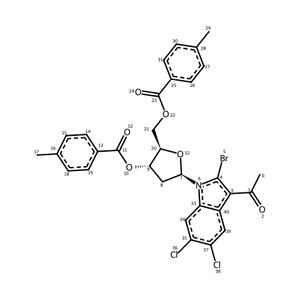 CC(=O)c1c(Br)n([C@H]2C[C@H](OC(=O)c3ccc(C)cc3)[C@@H](COC(=O)c3ccc(C)cc3)O2)c2cc(Cl)c(Cl)cc12